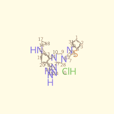 Cl.c1ccc2sc(CN3CCN(c4cc(NC5CC5)ccc4-c4nn[nH]n4)CC3)nc2c1